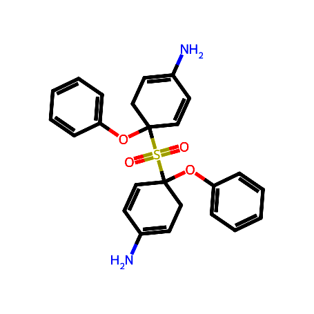 NC1=CCC(Oc2ccccc2)(S(=O)(=O)C2(Oc3ccccc3)C=CC(N)=CC2)C=C1